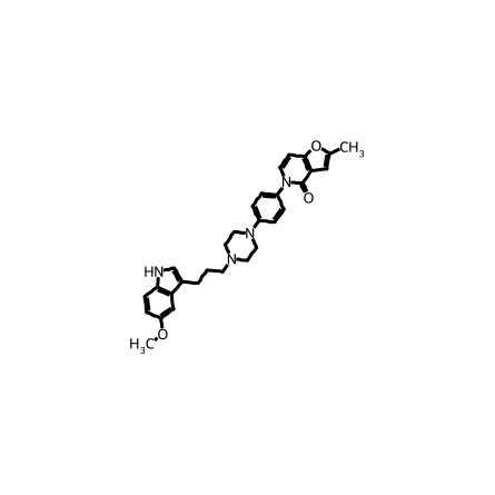 COc1ccc2[nH]cc(CCCN3CCN(c4ccc(-n5ccc6oc(C)cc6c5=O)cc4)CC3)c2c1